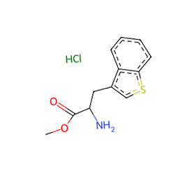 COC(=O)C(N)Cc1csc2ccccc12.Cl